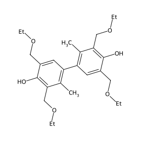 CCOCc1cc(-c2cc(COCC)c(O)c(COCC)c2C)c(C)c(COCC)c1O